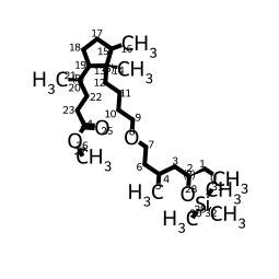 CC[C@H](CC(C)CCOCCCC[C@@]1(C)C(C)CCC1[C@H](C)CCC(=O)OC)O[Si](C)(C)C